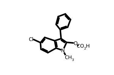 Cn1c(OC(=O)O)c(-c2ccccc2)c2cc(Cl)ccc21